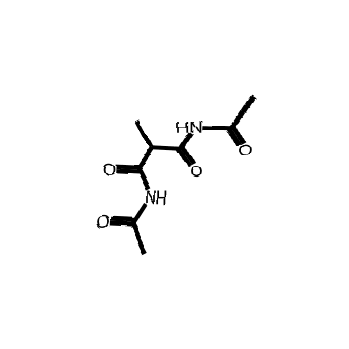 CC(=O)NC(=O)C(C)C(=O)NC(C)=O